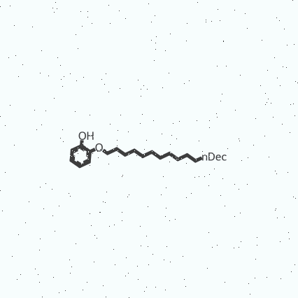 CCCCCCCCCCCCCCCCCCCCCOc1ccccc1O